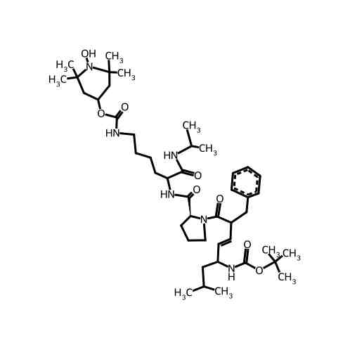 CC(C)CC(/C=C/C(Cc1ccccc1)C(=O)N1CCC[C@H]1C(=O)NC(CCCCNC(=O)OC1CC(C)(C)N(O)C(C)(C)C1)C(=O)NC(C)C)NC(=O)OC(C)(C)C